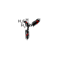 Cc1ccc(NC(=O)Oc2c(C)cc(CSCCC(F)(F)C(F)(F)C(F)(F)C(F)(F)C(F)(F)C(F)(F)C(F)(F)C(F)(F)F)cc2CSCCC(F)(F)C(F)(F)C(F)(F)C(F)(F)C(F)(F)C(F)(F)C(F)(F)C(F)(F)F)cc1